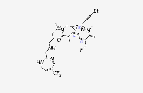 C=C(/C(=C\C=C/C(C)C(=O)N(CC1CC1)[C@@H](C)CCCNCC1N=CC(C(F)(F)F)=CCN1)CF)N(C)/N=C\C#CCC